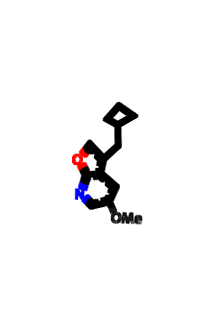 COc1cnc2occ(CC3CCC3)c2c1